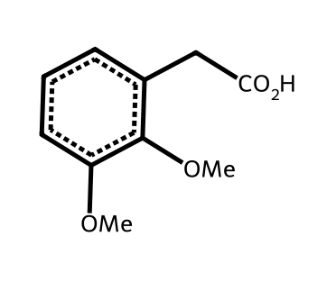 COc1cccc(CC(=O)O)c1OC